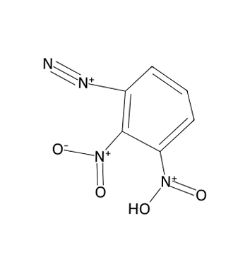 N#[N+]c1cccc([N+](=O)O)c1[N+](=O)[O-]